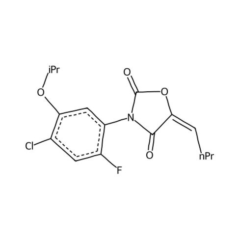 CCCC=C1OC(=O)N(c2cc(OC(C)C)c(Cl)cc2F)C1=O